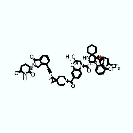 C[C@@H]1CN(C(=O)[C@@H]2NC3(CCCCC3)[C@@]3(CNc4cc(C(F)(F)F)ncc43)[C@H]2c2cccc(Cl)c2F)c2ccc(C(=O)N3CCC4(CC3)C[C@@H]4C#Cc3cccc4c3CN([C@H]3CCC(=O)NC3=O)C4=O)cc2O1